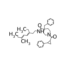 CC/C(C)=C/C=C(\CC)CCNC(=O)C1(Cc2ccccc2)CCN(C(=O)C2CC2c2ccccc2)CC1